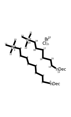 CCCCCCCCCCCCCCCCCC[N+](C)(C)C.CCCCCCCCCCCCCCCC[N+](C)(C)C.[Br-].[Cl-]